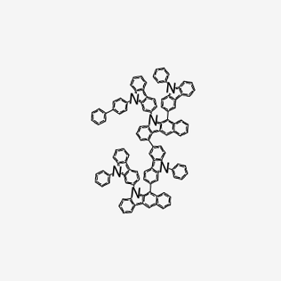 c1ccc(-c2ccc(-n3c4ccccc4c4ccc(-n5c6cccc(-c7ccc8c(c7)c7ccc(-c9c%10ccccc%10cc%10c%11ccccc%11n(-c%11ccc%12c%13ccccc%13n(-c%13ccccc%13)c%12c%11)c9%10)cc7n8-c7ccccc7)c6c6cc7ccccc7c(-c7ccc8c(c7)c7ccccc7n8-c7ccccc7)c65)cc43)cc2)cc1